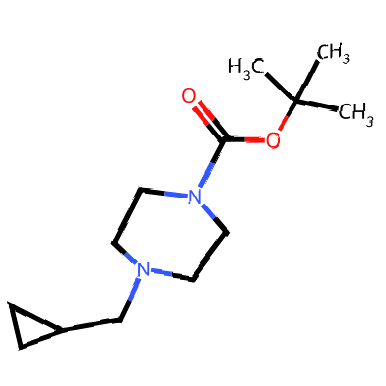 CC(C)(C)OC(=O)N1CCN(CC2CC2)CC1